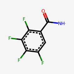 [NH]C(=O)c1cc(F)c(F)c(F)c1F